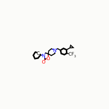 O=C1OC2(CCN(Cc3ccc(C(F)(F)F)c(C4CC4)c3)CC2)CN1c1ccccc1